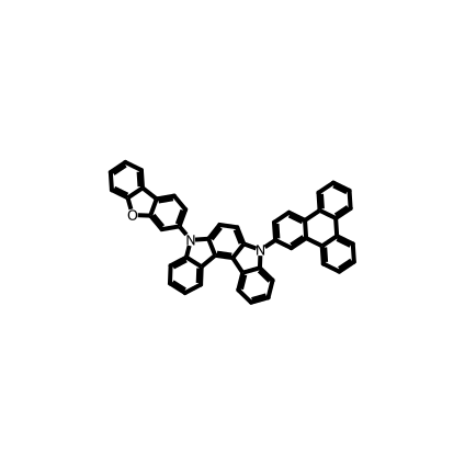 c1ccc2c(c1)oc1cc(-n3c4ccccc4c4c5c6ccccc6n(-c6ccc7c8ccccc8c8ccccc8c7c6)c5ccc43)ccc12